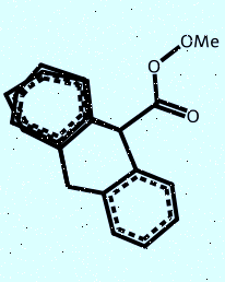 COOC(=O)C12c3ccccc3C(c3ccccc31)c1ccccc12